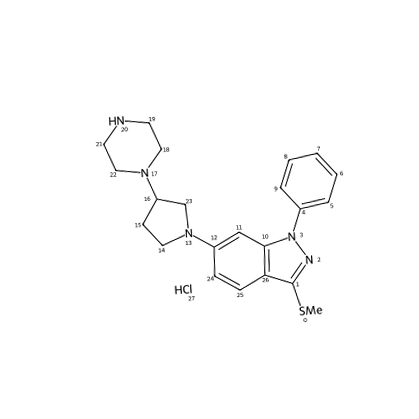 CSc1nn(-c2ccccc2)c2cc(N3CCC(N4CCNCC4)C3)ccc12.Cl